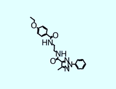 CCOc1ccc(C(=O)NCCNC(=O)c2nn(-c3ccccc3)nc2C)cc1